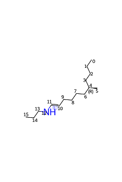 CCCC[C@@H](C)CCCC/C=C/NCCC